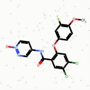 O=C(Nc1cc[n+]([O-])nc1)c1cc(Cl)c(Cl)cc1Oc1ccc(OC(F)(F)F)c(F)c1